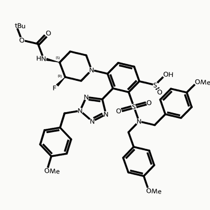 COc1ccc(CN(Cc2ccc(OC)cc2)S(=O)(=O)c2c(S(=O)O)ccc(N3CC[C@H](NC(=O)OC(C)(C)C)[C@H](F)C3)c2-c2nnn(Cc3ccc(OC)cc3)n2)cc1